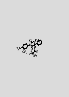 CC(C)[C@H](N)C(=O)OCC1(c2ccccc2)C(=O)N(c2ccc(N)c(C(F)(F)F)c2)C(=O)N1C